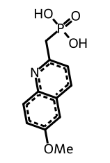 COc1ccc2nc(CP(=O)(O)O)ccc2c1